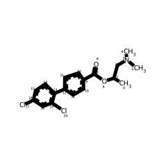 CC(CN(C)C)OC(=O)c1ccc(-c2ccc(Cl)cc2Cl)cc1